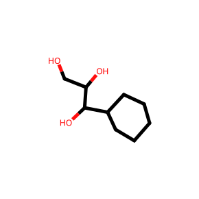 OCC(O)C(O)C1CCCCC1